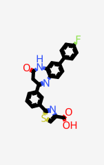 O=C1CC(c2cccc(-c3nc(C(=O)O)cs3)c2)=Nc2ccc(-c3ccc(F)cc3)cc2N1